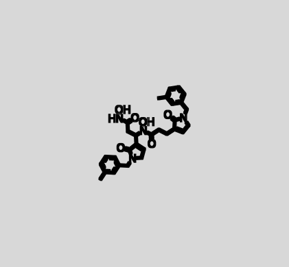 Cc1cccc(CN2CC=C(CCC(=O)N(O)C(CC(=O)NO)C3=CCN(Cc4cccc(C)c4)C3=O)C2=O)c1